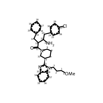 COCCCn1c([C@@H]2CCCN(C(=O)C(Cc3ccccc3)C(N)Cc3ccc(Cl)cc3)C2)nc2ccccc21